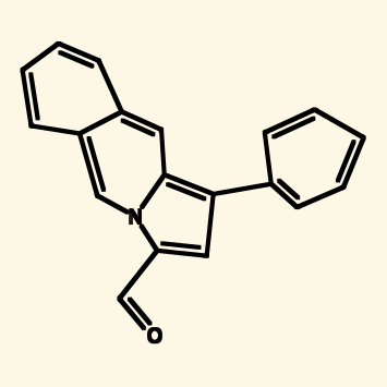 O=Cc1cc(-c2ccccc2)c2cc3ccccc3cn12